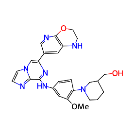 COc1cc(Nc2nc(-c3cnc4c(c3)NCCO4)cn3ccnc23)ccc1N1CCCC(CO)C1